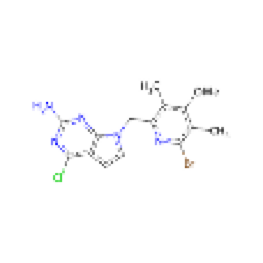 COc1c(C)c(Br)nc(Cn2ccc3c(Cl)nc(N)nc32)c1C